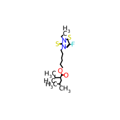 CCn1c(=S)c(F)cn(CCCCCCOC(=O)C(CC(C)C)C(C)C)c1=S